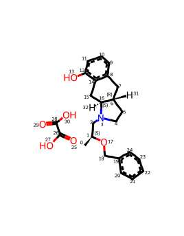 C[C@@H](CN1CC[C@H]2Cc3cccc(O)c3C[C@@H]21)OCc1ccccc1.O=C(O)C(=O)O